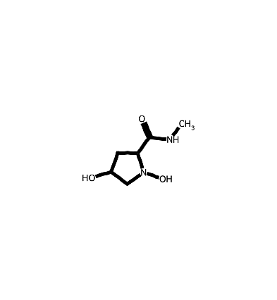 CNC(=O)C1CC(O)CN1O